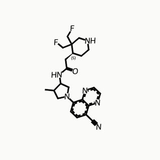 CC1CN(c2ccc(C#N)c3nccnc23)CC1NC(=O)C[C@@H]1CCNCC1(CF)CF